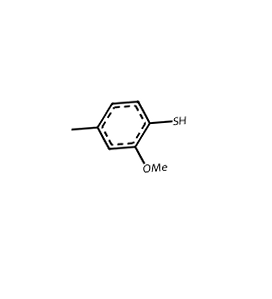 COc1cc(C)ccc1S